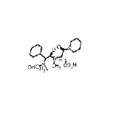 CN(C=O)C(C(=O)N(C)[C@@H](CC(=O)O)C(=O)N1CCCCC1)C1CCCCC1